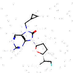 CC(=O)OC(CF)[C@@H]1C[C@@H](OC(C)=O)[C@H](n2c(=O)n(CC3CC3)c3cnc(N)nc32)O1